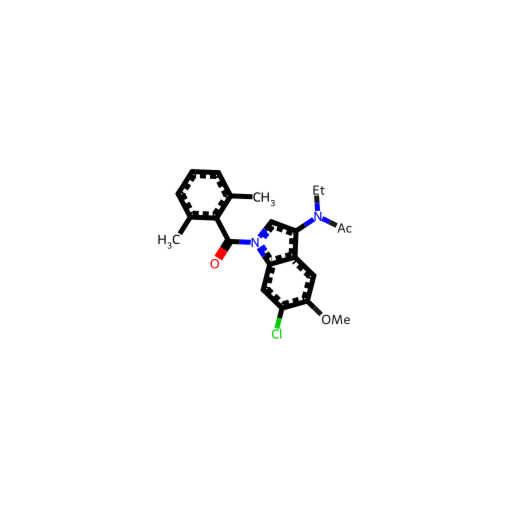 CCN(C(C)=O)c1cn(C(=O)c2c(C)cccc2C)c2cc(Cl)c(OC)cc12